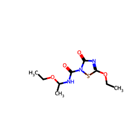 CCOc1nc(=O)n(C(=O)NC(C)OCC)s1